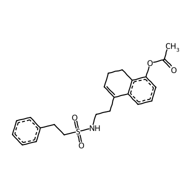 CC(=O)Oc1cccc2c1CCC=C2CCNS(=O)(=O)CCc1ccccc1